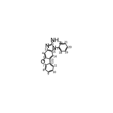 Nc1nc2cc3oc4ccccc4c3cc2n1-c1ccccc1